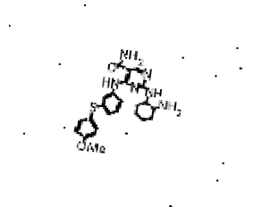 COc1ccc(Sc2cccc(Nc3nc(NC4CCCCC4N)ncc3C(N)=O)c2)cc1